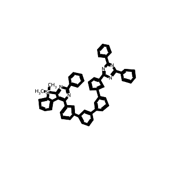 C[Si]1(C)c2ccccc2-c2c(-c3cccc(-c4cccc(-c5cccc(-c6cccc(-c7nc(-c8ccccc8)nc(-c8ccccc8)n7)c6)c5)c4)c3)nc(-c3ccccc3)nc21